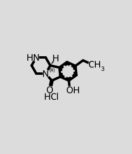 CCc1cc(O)c2c(c1)[C@@H]1CNCCN1C2=O.Cl